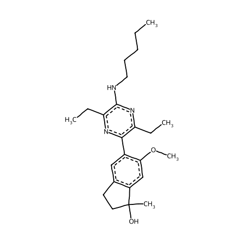 CCCCCNc1nc(CC)c(-c2cc3c(cc2OC)C(C)(O)CC3)nc1CC